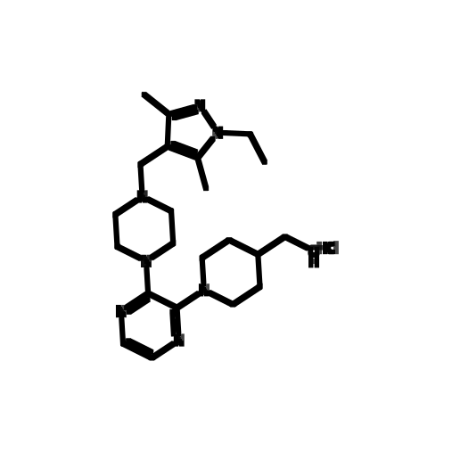 CCn1nc(C)c(CN2CCN(c3nccnc3N3CCC(CO)CC3)CC2)c1C.Cl